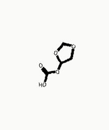 O=C(O)OC1COCO1